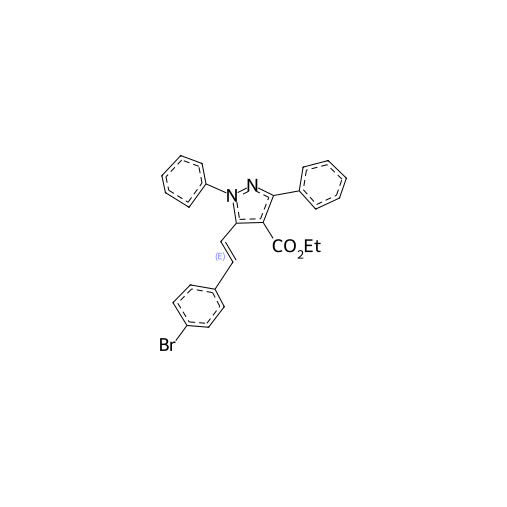 CCOC(=O)c1c(-c2ccccc2)nn(-c2ccccc2)c1/C=C/c1ccc(Br)cc1